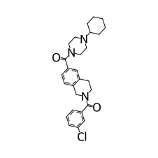 O=C(c1ccc2c(c1)CCN(C(=O)c1cccc(Cl)c1)C2)N1CCN(C2CCCCC2)CC1